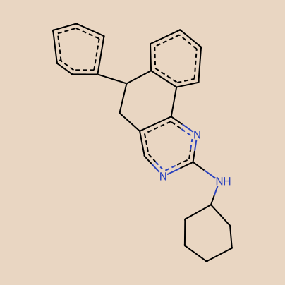 c1ccc(C2Cc3cnc(NC4CCCCC4)nc3-c3ccccc32)cc1